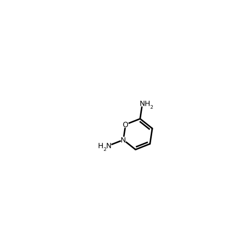 NC1=CC=CN(N)O1